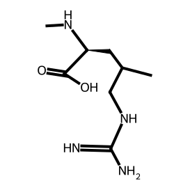 CN[C@@H](CC(C)CNC(=N)N)C(=O)O